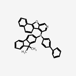 CC1(C)c2ccccc2-c2ccc(N(c3ccc(-c4ccccc4)cc3)c3cncc4oc5c6ccccc6ccc5c34)cc21